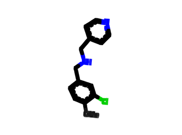 COc1ccc(CNCc2ccncc2)cc1Cl